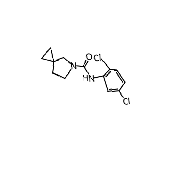 O=C(Nc1cc(Cl)ccc1Cl)N1CCC2(CC2)C1